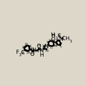 CN(C)c1cccc(C2(O)CCC(N3CC(NC(=O)CNC(=O)c4cccc(C(F)(F)F)c4)C3)CC2)c1